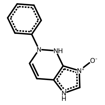 [O-][n+]1c[nH]c2c1NN(c1ccccc1)C=C2